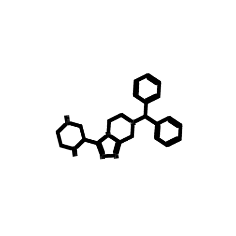 c1ccc(C(c2ccccc2)N2CCn3c(nnc3C3CNCCN3)C2)cc1